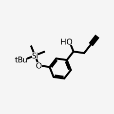 C#CCC(O)c1cccc(O[Si](C)(C)C(C)(C)C)c1